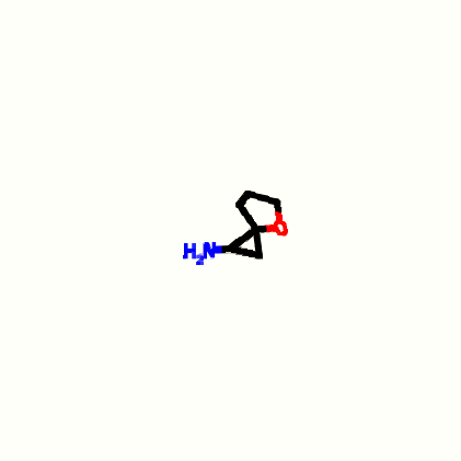 NC1CC12CCCO2